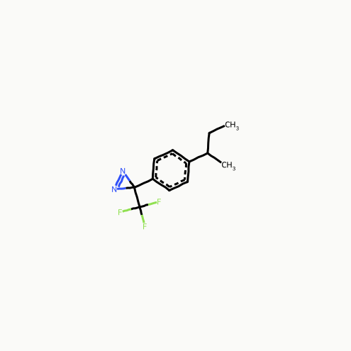 CCC(C)c1ccc(C2(C(F)(F)F)N=N2)cc1